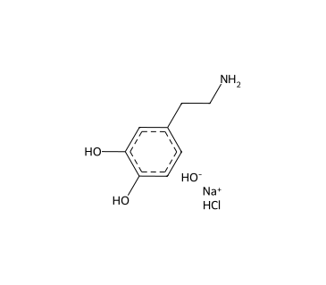 Cl.NCCc1ccc(O)c(O)c1.[Na+].[OH-]